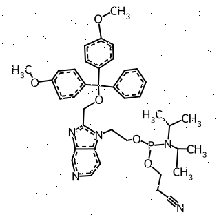 COc1ccc(C(OCc2nc3cnccc3n2CCOP(OCCC#N)N(C(C)C)C(C)C)(c2ccccc2)c2ccc(OC)cc2)cc1